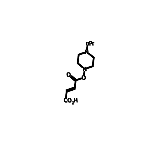 CCCN1CCN(OC(=O)/C=C/C(=O)O)CC1